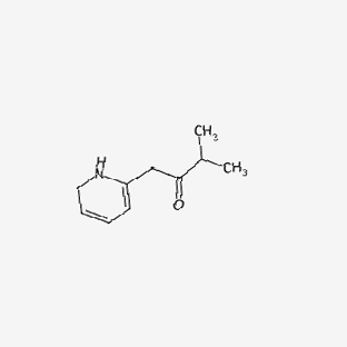 CC(C)C(=O)CC1=CC=CCN1